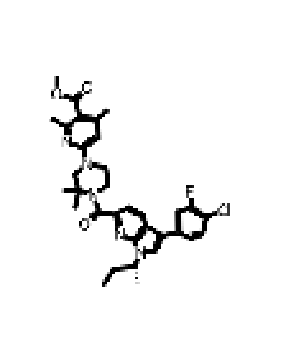 CC[C@@H](C)n1cc(-c2ccc(Cl)c(F)c2)c2ccc(C(=O)N3CCN(c4cc(C)c(C(=O)OC)c(C)n4)CC3(C)C)nc21